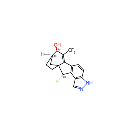 O[C@H]1C(C(F)(F)F)=C2c3ccc4[nH]ncc4c3[C@H](F)C23CC[C@@H]1C3